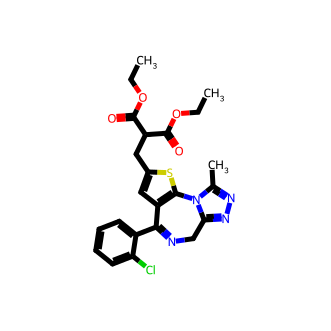 CCOC(=O)C(Cc1cc2c(s1)-n1c(C)nnc1CN=C2c1ccccc1Cl)C(=O)OCC